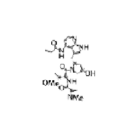 C=CC(=O)Nc1ccnc2[nH]cc(C[C@@H]3C[C@H](O)CN3C(=O)[C@@H](NC(=O)[C@H](C)NC)[C@@H](C)OC)c12